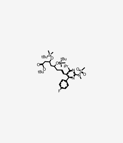 CC(C)c1nc(N(C)S(C)(=O)=O)nc(-c2ccc(F)cc2)c1C=CCC(CC(CC(=O)OC(C)(C)C)O[Si](C)(C)C(C)(C)C)O[Si](C)(C)C(C)(C)C